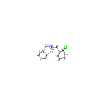 Fc1ccccc1/[C]=N\OCc1ccccc1Cl